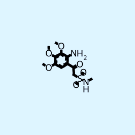 CNS(=O)(=O)CC(=O)c1cc(OC)c(OC)c(OC)c1N